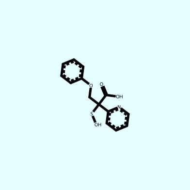 O=C(O)C(COc1ccccc1)(SO)c1ccccn1